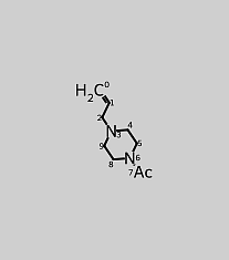 C=CCN1CCN(C(C)=O)CC1